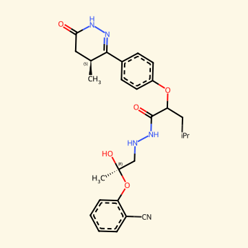 CC(C)CC(Oc1ccc(C2=NNC(=O)C[C@@H]2C)cc1)C(=O)NNC[C@](C)(O)Oc1ccccc1C#N